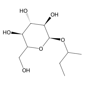 CCC(C)O[C@H]1OC(CO)[C@@H](O)[C@H](O)[C@H]1O